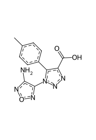 Cc1ccc(-c2c(C(=O)O)nnn2-c2nonc2N)cc1